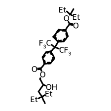 CCC(C)(CC)CC(O)COC(=O)c1ccc(C(c2ccc(C(=O)OC(C)(CC)CC)cc2)(C(F)(F)F)C(F)(F)F)cc1